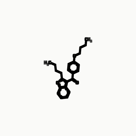 CCCCOc1ccc(C(=O)c2c(CCCC)oc3ccccc23)cc1